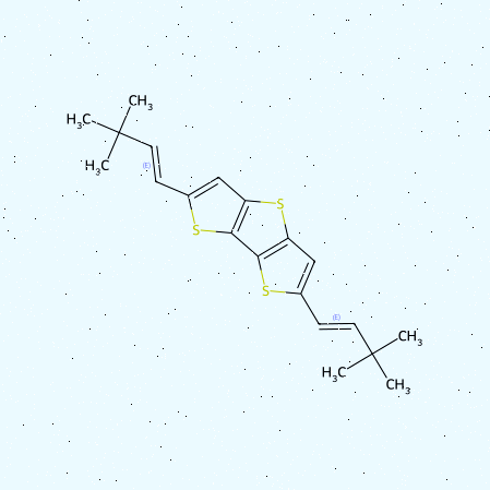 CC(C)(C)/C=C/c1cc2sc3cc(/C=C/C(C)(C)C)sc3c2s1